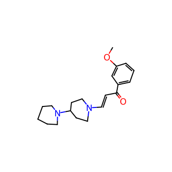 COc1cccc(C(=O)C=CN2CCC(N3CCCCC3)CC2)c1